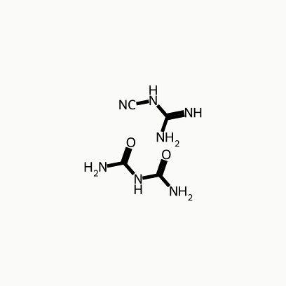 N#CNC(=N)N.NC(=O)NC(N)=O